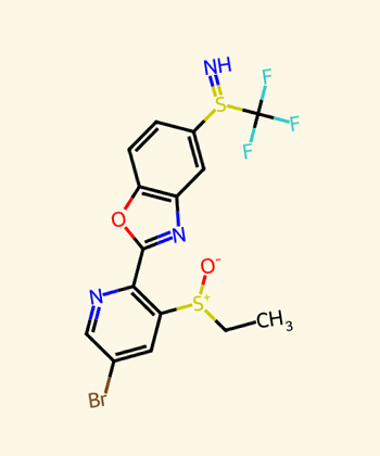 CC[S+]([O-])c1cc(Br)cnc1-c1nc2cc(S(=N)C(F)(F)F)ccc2o1